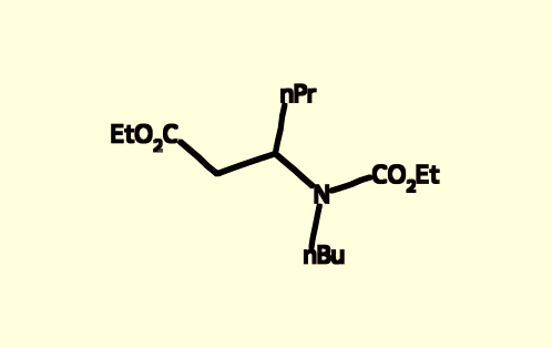 CCCCN(C(=O)OCC)C(CCC)CC(=O)OCC